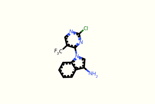 Nc1cn(-c2nc(Cl)ncc2C(F)(F)F)c2ccccc12